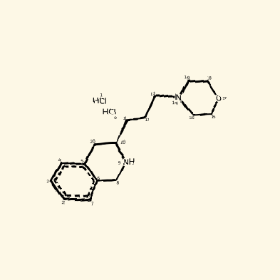 Cl.Cl.c1ccc2c(c1)CN[C@H](CCCN1CCOCC1)C2